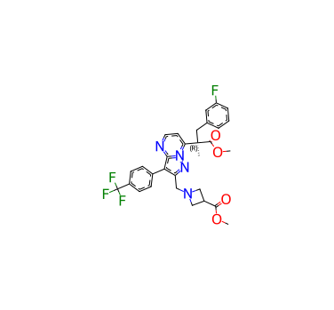 COC(=O)C1CN(Cc2nn3c([C@@](C)(Cc4cccc(F)c4)C(=O)OC)ccnc3c2-c2ccc(C(F)(F)F)cc2)C1